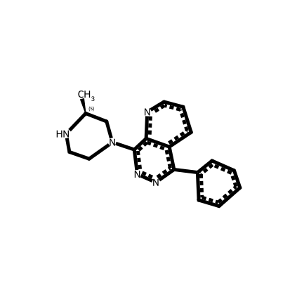 C[C@H]1CN(c2nnc(-c3ccccc3)c3cccnc23)CCN1